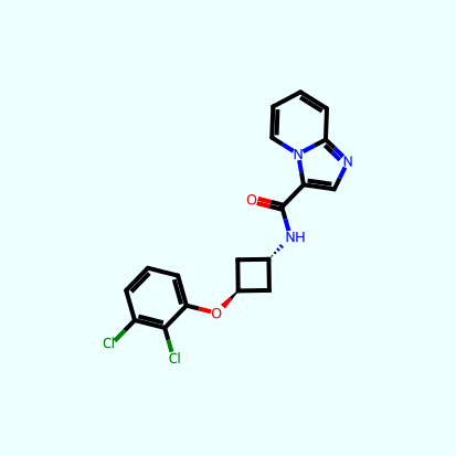 O=C(N[C@H]1C[C@H](Oc2cccc(Cl)c2Cl)C1)c1cnc2ccccn12